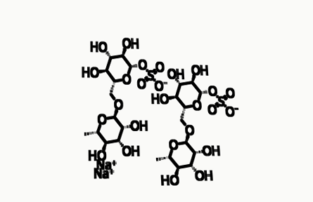 C[C@@H]1O[C@@H](OC[C@H]2O[C@@H](OS(=O)(=O)[O-])[C@H](O)[C@@H](O)[C@@H]2O)[C@H](O)[C@H](O)[C@H]1O.C[C@@H]1O[C@@H](OC[C@H]2O[C@@H](OS(=O)(=O)[O-])[C@H](O)[C@@H](O)[C@@H]2O)[C@H](O)[C@H](O)[C@H]1O.[Na+].[Na+]